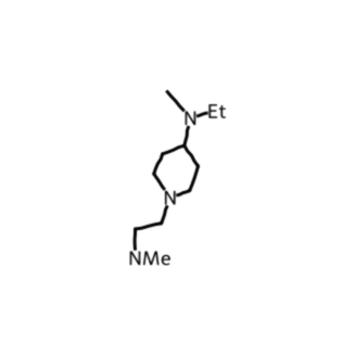 CCN(C)C1CCN(CCNC)CC1